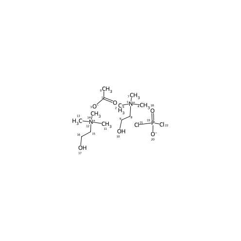 CC(=O)[O-].C[N+](C)(C)CCO.C[N+](C)(C)CCO.O=P([O-])(Cl)Cl